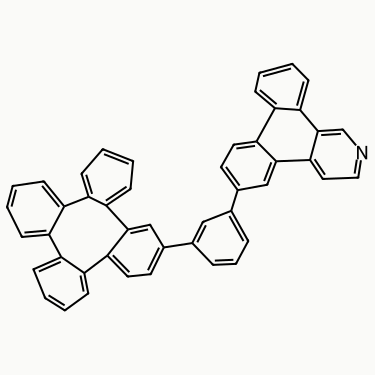 c1cc(-c2ccc3c(c2)-c2ccccc2-c2ccccc2-c2ccccc2-3)cc(-c2ccc3c4ccccc4c4cnccc4c3c2)c1